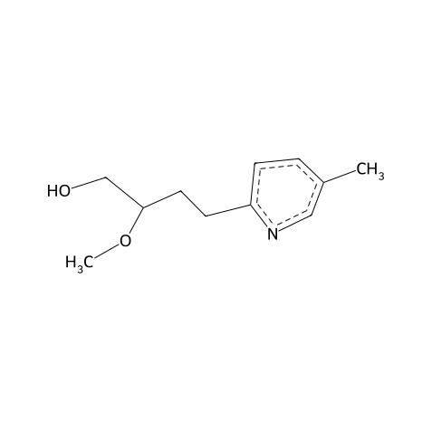 COC(CO)CCc1ccc(C)cn1